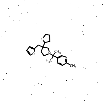 Cc1ccc(C(C)(C)N2CCC(Cc3cccs3)(C3CCCO3)C2)cn1